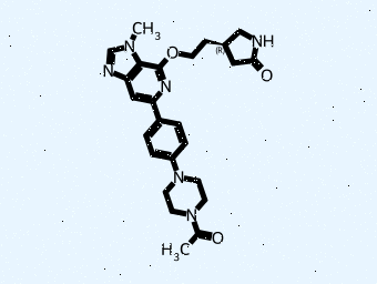 CC(=O)N1CCN(c2ccc(-c3cc4ncn(C)c4c(OCC[C@H]4CNC(=O)C4)n3)cc2)CC1